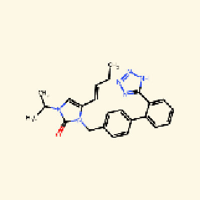 CCC=Cc1cn(C(C)C)c(=O)n1Cc1ccc(-c2ccccc2-c2nnn[nH]2)cc1